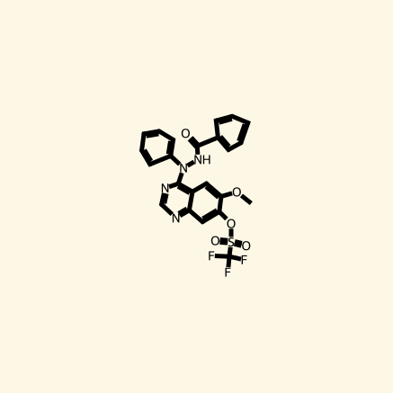 COc1cc2c(N(NC(=O)c3ccccc3)c3ccccc3)ncnc2cc1OS(=O)(=O)C(F)(F)F